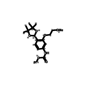 COCCOc1cc(NC(=O)OC(C)C)ccc1B1OC(C)(C)C(C)(C)O1